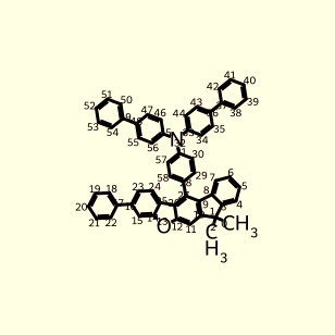 CC1(C)c2ccccc2-c2c1cc1oc3cc(-c4ccccc4)ccc3c1c2-c1ccc(N(c2ccc(-c3ccccc3)cc2)c2ccc(-c3ccccc3)cc2)cc1